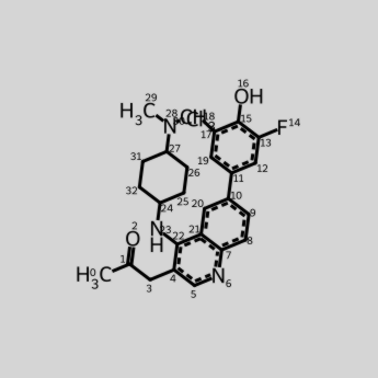 CC(=O)Cc1cnc2ccc(-c3cc(F)c(O)c(Cl)c3)cc2c1NC1CCC(N(C)C)CC1